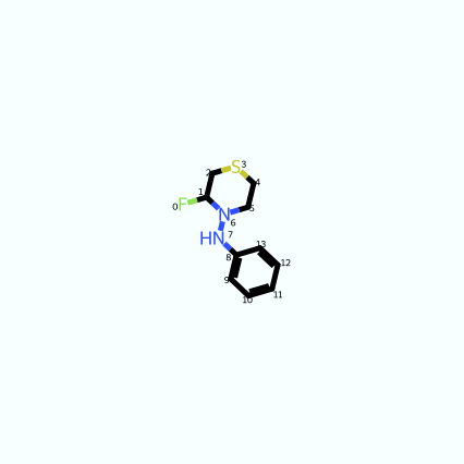 FC1CSCCN1Nc1ccccc1